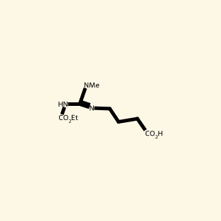 CCOC(=O)NC(=NCCCC(=O)O)NC